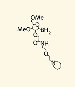 B[C@@H]1O[C@H](COC)C(OC)[C@@H]1OCC(=O)NCCOCCN1CCCCC1